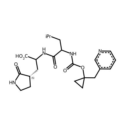 CC(C)CC(NC(=O)OC1(Cc2cccnc2)CC1)C(=O)NC(C[C@@H]1CCNC1=O)C(=O)O